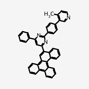 Cc1ccncc1-c1ccc(-c2nc(-c3ccccc3)cc(-c3cc4c5ccccc5c5ccccc5c4c4ccccc34)n2)cc1